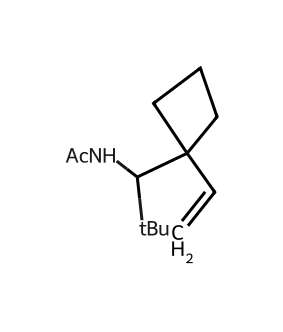 C=CC1(C(NC(C)=O)C(C)(C)C)CCC1